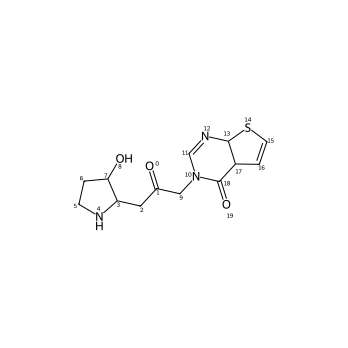 O=C(CC1NCCC1O)CN1C=NC2SC=CC2C1=O